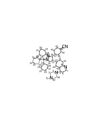 CN1CCN(c2ccnc3ccc(-c4cn(C(c5ccccc5)(c5ccccc5)C5C=CC=CC5)nc4-c4ccc(C#N)cc4)cc23)CC1